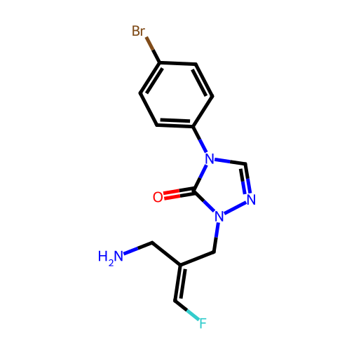 NC/C(=C/F)Cn1ncn(-c2ccc(Br)cc2)c1=O